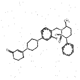 CC1CCC(c2ccccc2)S(=O)(=O)N1Cc1ccc(N2CCN(C3=CC(=O)CCC3)CC2)cc1F